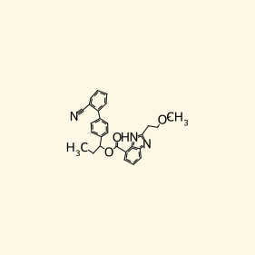 CCC(OC(=O)c1cccc2nc(CCOC)[nH]c12)c1ccc(-c2ccccc2C#N)cc1